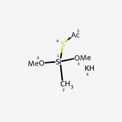 CO[Si](C)(OC)SC(C)=O.[KH]